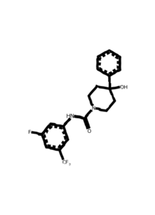 O=C(Nc1cc(F)cc(C(F)(F)F)c1)N1CCC(O)(c2ccccc2)CC1